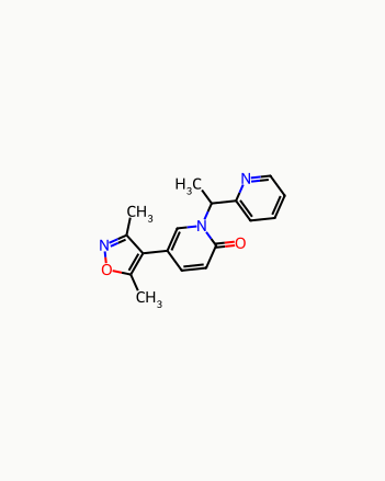 Cc1noc(C)c1-c1ccc(=O)n(C(C)c2ccccn2)c1